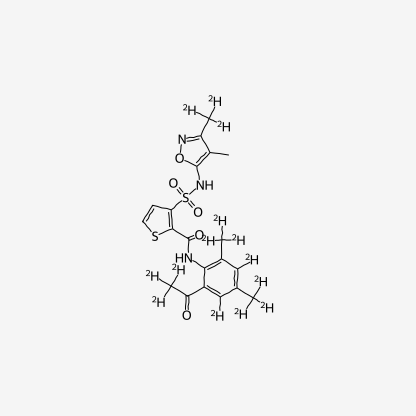 [2H]c1c(C(=O)C([2H])([2H])[2H])c(NC(=O)c2sccc2S(=O)(=O)Nc2onc(C([2H])([2H])[2H])c2C)c(C([2H])([2H])[2H])c([2H])c1C([2H])([2H])[2H]